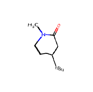 CCCCC1CCN(C)C(=O)C1